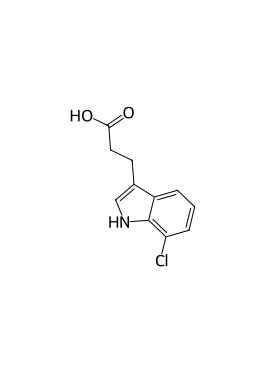 O=C(O)CCc1c[nH]c2c(Cl)cccc12